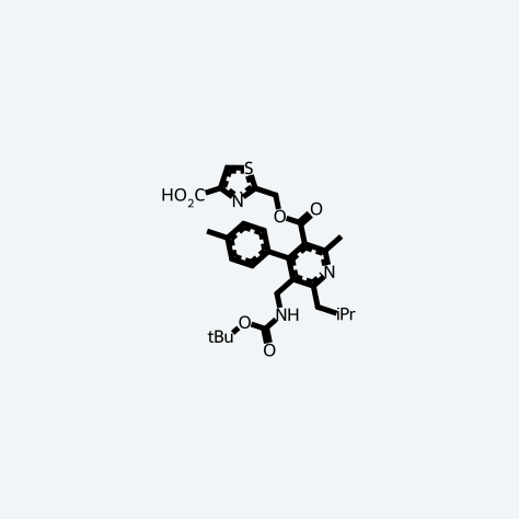 Cc1ccc(-c2c(CNC(=O)OC(C)(C)C)c(CC(C)C)nc(C)c2C(=O)OCc2nc(C(=O)O)cs2)cc1